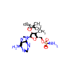 C[C@H]1[C@@H](O[Si](C)(C)C(C)(C)C)[C@H](n2cnc3c(N)ncnc32)O[C@@H]1COS(N)(=O)=O